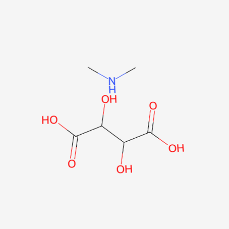 CNC.O=C(O)C(O)C(O)C(=O)O